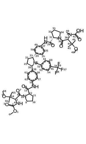 COC(=O)N[C@H](C(=O)N1CCCC1C(=O)Nc1ccc([C@H]2CC[C@H](c3ccc(NC(=O)[C@@H]4CCCN4C(=O)[C@@H](N(C)C(=O)O)C(C)(C)OC)cc3)N2c2ccc(C(F)(F)F)cc2)cc1)C(C)(C)OC